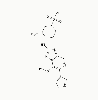 CCS(=O)(=O)N1CC[C@H](Nc2nc3cnc(-c4cn[nH]c4)c(OC(C)C)n3n2)[C@H](C)C1